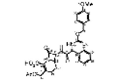 COc1ccc(COC(=O)NC(C(=O)N[C@H]2C(=O)N3C(C(=O)O)=C(COC(C)=O)CSC23)c2ccccc2)cc1